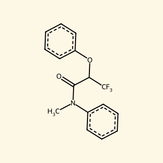 CN(C(=O)C(Oc1ccccc1)C(F)(F)F)c1ccccc1